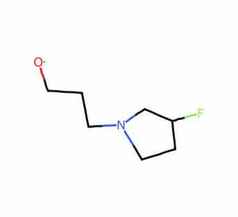 [O]CCCN1CCC(F)C1